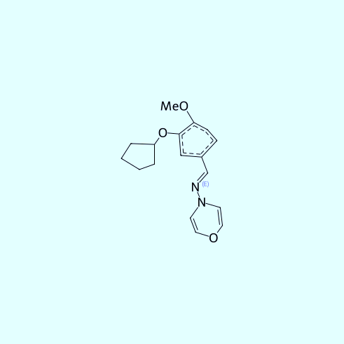 COc1ccc(/C=N/N2C=COC=C2)cc1OC1CCCC1